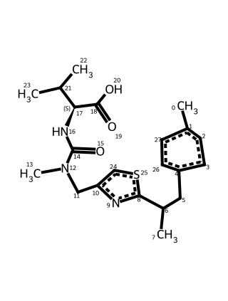 Cc1ccc(CC(C)c2nc(CN(C)C(=O)N[C@H](C(=O)O)C(C)C)cs2)cc1